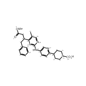 COC(=O)CC(Cc1ccccc1)c1nc(Nc2ccc(C3CCN(C(=O)O)CC3)nc2)ncc1C